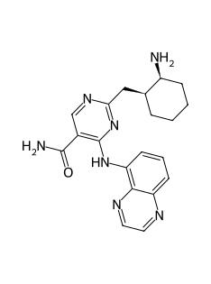 NC(=O)c1cnc(C[C@@H]2CCCC[C@@H]2N)nc1Nc1cccc2nccnc12